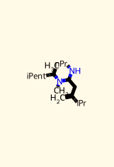 C=C(CC(NCCC)N(C)C(C)C(C)CCC)C(C)C